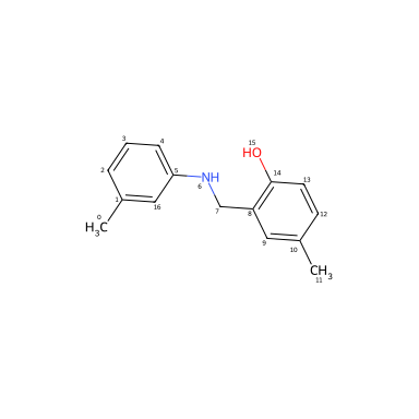 Cc1cccc(NCc2cc(C)ccc2O)c1